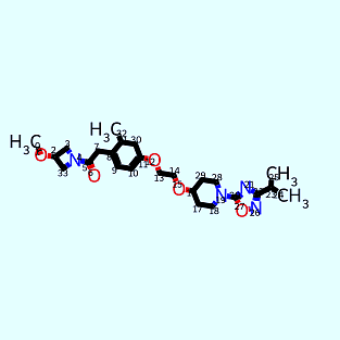 COC1CN(C(=O)CC2=CC=C(OCCOC3CCN(c4nc(C(C)C)no4)CC3)CC2C)C1